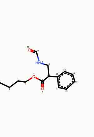 CCCCOC(=O)C(CNC=O)c1ccccc1